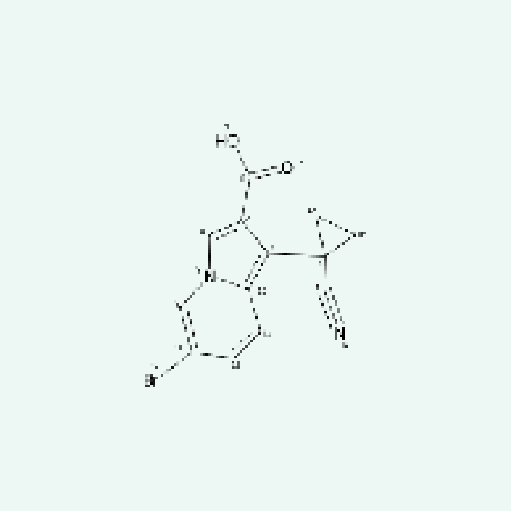 N#CC1(c2c(C(=O)O)cn3cc(Br)ccc23)CC1